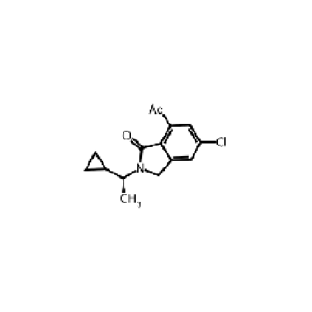 CC(=O)c1cc(Cl)cc2c1C(=O)N([C@@H](C)C1CC1)C2